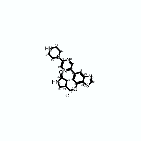 C[C@@H](Oc1cc(-c2cnc(N3CCNCC3)cn2)cc2ncsc12)C1CNC(=O)C1